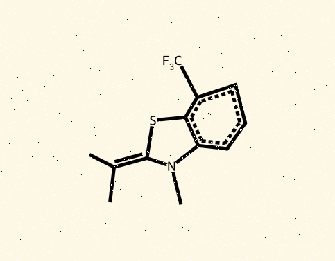 CC(C)=C1Sc2c(cccc2C(F)(F)F)N1C